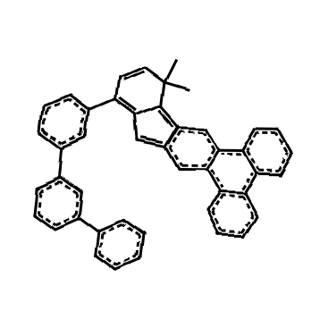 CC1(C)C=CC(c2cccc(-c3cccc(-c4ccccc4)c3)c2)=C2C=c3cc4c5ccccc5c5ccccc5c4cc3=C21